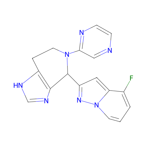 Fc1cccn2nc(C3c4nc[nH]c4CCN3c3cnccn3)cc12